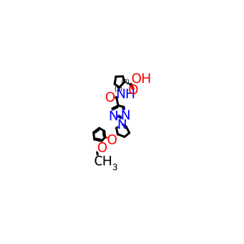 CCOc1ccccc1OC1CCCN(c2ncc(C(=O)N[C@H]3CCC[C@H]3C(=O)O)cn2)C1